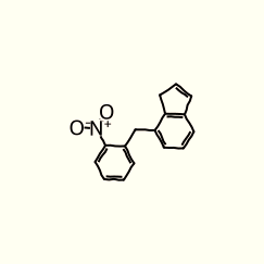 O=[N+]([O-])c1ccccc1Cc1cccc2c1CC=C2